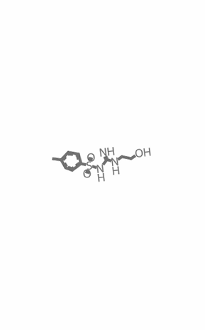 Cc1ccc(S(=O)(=O)NC(=N)NCCO)cc1